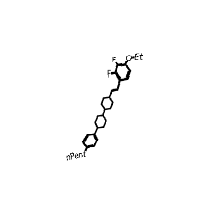 CCCCCc1ccc(C2CCC(C3CCC(CCc4ccc(OCC)c(F)c4F)CC3)CC2)cc1